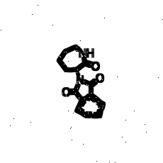 O=C1NCCCC[C@@H]1N1C(=O)c2ccccc2C1=O